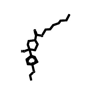 CCCCCCCOC(=O)C1CCC(O)(c2ccc(OCC)cc2)CC1